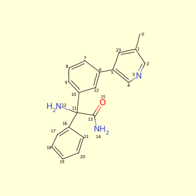 Cc1cncc(-c2cccc(C(N)(C(N)=O)c3ccccc3)c2)c1